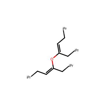 CC(C)CC=C(CC(C)C)OC(=CCC(C)C)CC(C)C